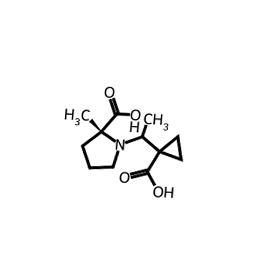 CC(N1CCC[C@]1(C)C(=O)O)C1(C(=O)O)CC1